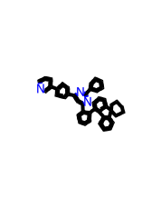 c1ccc(-c2nc(-c3ccc(-c4cccnc4)cc3)cc(-c3ccccc3-c3cccc4c3-c3ccccc3C43CCCCC3)n2)cc1